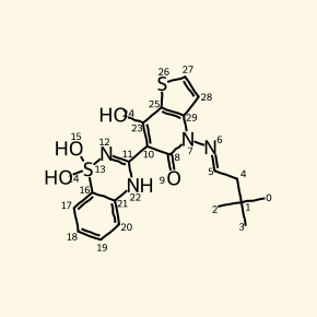 CC(C)(C)CC=Nn1c(=O)c(C2=NS(O)(O)c3ccccc3N2)c(O)c2sccc21